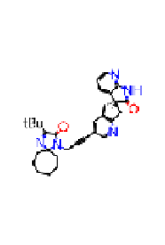 CC(C)(C)C1=NC2(CCCCCC2)N(CC#Cc2cnc3c(c2)C[C@@]2(C3)C(=O)Nc3ncccc32)C1=O